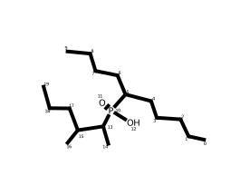 CCCCCC(CCCC)P(=O)(O)C(C)C(C)CCC